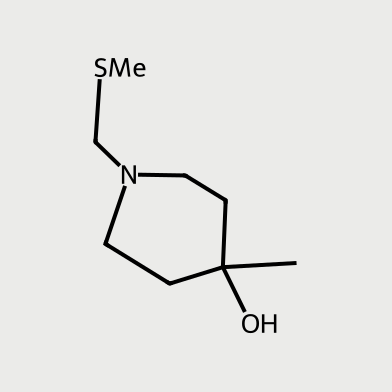 CSCN1CCC(C)(O)CC1